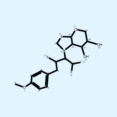 COc1ccc(CC(F)C(C(F)F)N2CSC3OCC(O)C(O)C32)cc1